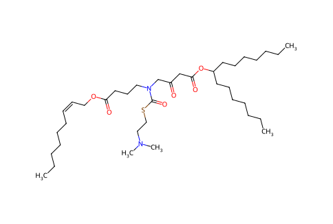 CCCCCC/C=C\COC(=O)CCCN(CC(=O)CC(=O)OC(CCCCCCC)CCCCCCC)C(=O)SCCN(C)C